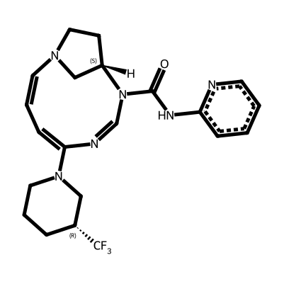 O=C(Nc1ccccn1)N1C=NC(N2CCC[C@@H](C(F)(F)F)C2)=CC=CN2CC[C@H]1C2